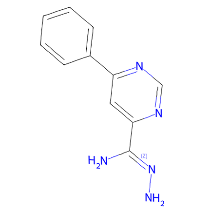 N/N=C(\N)c1cc(-c2ccccc2)ncn1